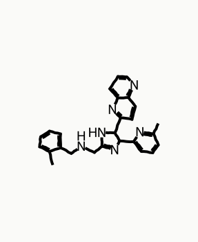 Cc1cccc(C2N=C(CNCc3ccccc3C)NC2c2ccc3ncccc3n2)n1